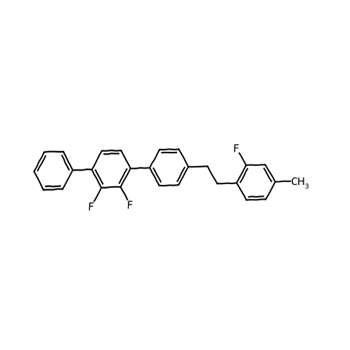 Cc1ccc(CCc2ccc(-c3ccc(-c4ccccc4)c(F)c3F)cc2)c(F)c1